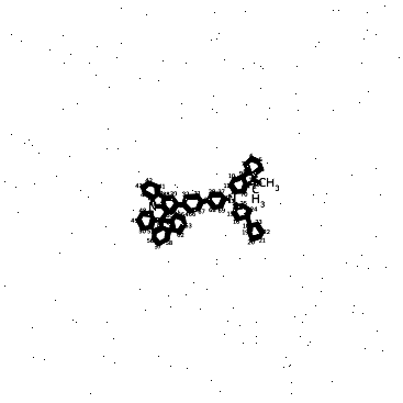 CC1(C)c2ccccc2-c2ccc(N(c3ccc(-c4ccccc4)cc3)c3ccc(-c4ccc(-c5cc6c7c(c5)c5ccccc5n7-c5ccccc5C6(c5ccccc5)c5ccccc5)cc4)cc3)cc21